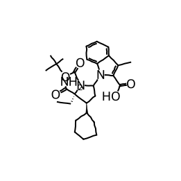 CC[C@@]1(C(N)=O)[C@H](C2CCCCC2)CC(n2c(C(=O)O)c(C)c3ccccc32)N1C(=O)OC(C)(C)C